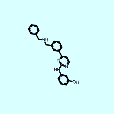 Oc1cccc(Nc2nccc(-c3cccc(CNCc4ccccc4)c3)n2)c1